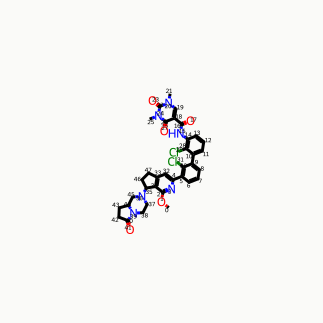 COc1nc(-c2cccc(-c3cccc(NC(=O)c4cn(C)c(=O)n(C)c4=O)c3Cl)c2Cl)cc2c1C(N1CCN3C(=O)CCC3C1)CC2